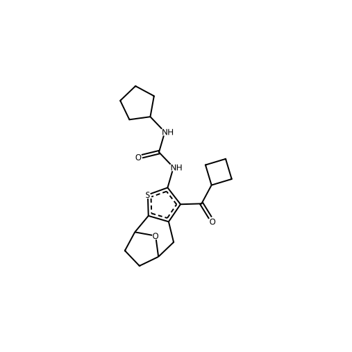 O=C(Nc1sc2c(c1C(=O)C1CCC1)CC1CCC2O1)NC1CCCC1